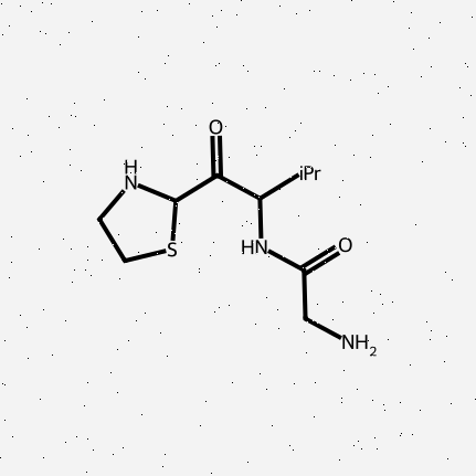 CC(C)C(NC(=O)CN)C(=O)C1NCCS1